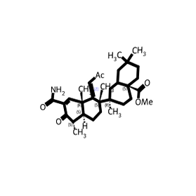 COC(=O)[C@]12CCC(C)(C)CC1C[C@](C)([C@]1(C)CC[C@H]3[C@H](C)C(=O)C(C(N)=O)=C[C@]3(C)/C1=C/C(C)=O)CC2